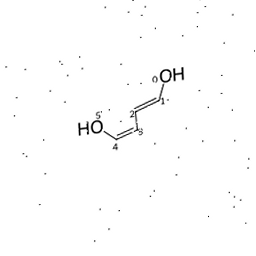 OC=C/C=C\O